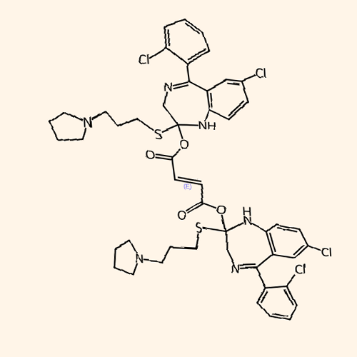 O=C(/C=C/C(=O)OC1(SCCCN2CCCC2)CN=C(c2ccccc2Cl)c2cc(Cl)ccc2N1)OC1(SCCCN2CCCC2)CN=C(c2ccccc2Cl)c2cc(Cl)ccc2N1